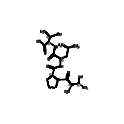 CC(C)C[C@H](NC(=O)[C@@H]1CCCN1C(=O)[C@@H](N)[C@@H](C)O)C(=O)N[C@H](C(=O)O)[C@@H](C)O